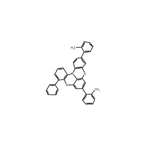 Cc1ccccc1-c1ccc2c(c1)Oc1cc(-c3ccccc3C)cc3c1B2c1cccc(-c2ccccc2)c1O3